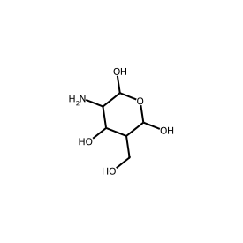 NC1C(O)OC(O)C(CO)C1O